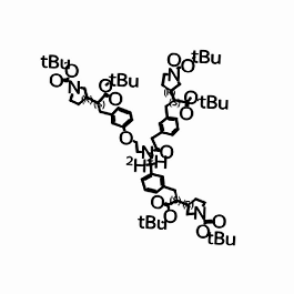 [2H]C([2H])(c1cccc(C[C@H](C(=O)OC(C)(C)C)[C@H]2CCN(C(=O)OC(C)(C)C)C2)c1)N(CCOc1cccc(C[C@H](C(=O)OC(C)(C)C)[C@H]2CCN(C(=O)OC(C)(C)C)C2)c1)C(=O)Cc1cccc(C[C@H](C(=O)OC(C)(C)C)[C@H]2CCN(C(=O)OC(C)(C)C)C2)c1